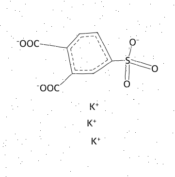 O=C([O-])c1ccc(S(=O)(=O)[O-])cc1C(=O)[O-].[K+].[K+].[K+]